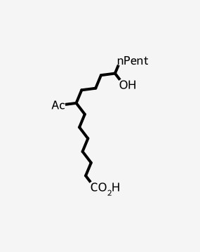 CCCCCC(O)CCCC(CCCCCCC(=O)O)C(C)=O